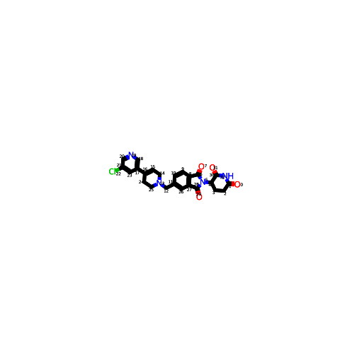 O=C1CCC(N2C(=O)c3ccc(CN4CC=C(c5cncc(Cl)c5)CC4)cc3C2=O)C(=O)N1